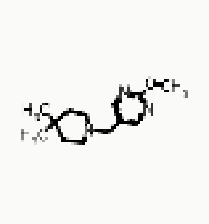 COc1ncc(CN2CCC(C)(C)CC2)cn1